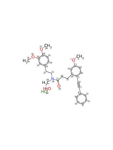 COc1ccc(C#Cc2ccccc2)c(CCC(=O)N(C)CCc2ccc(OC)c(OC)c2)c1.Cl.O